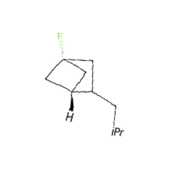 CC(C)CC1C[C@]2(F)C[C@@H]1C2